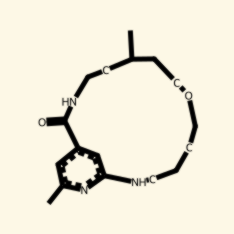 Cc1cc2cc(n1)NCCCCOCCC(C)CCNC2=O